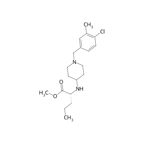 CCC[C@@H](NC1CCN(Cc2ccc(Cl)c(C)c2)CC1)C(=O)OC